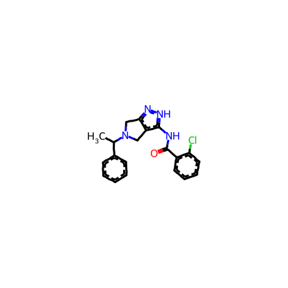 CC(c1ccccc1)N1Cc2n[nH]c(NC(=O)c3ccccc3Cl)c2C1